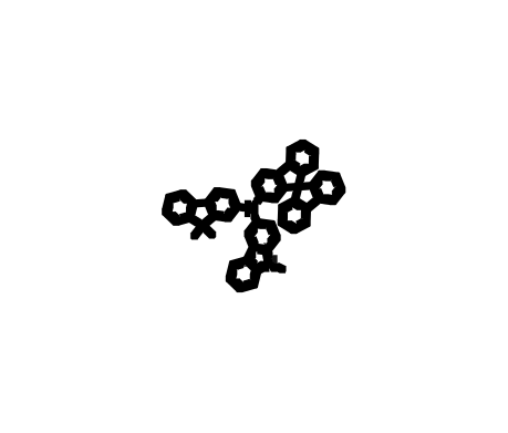 Cn1c2ccccc2c2cc(N(c3ccc4c(c3)C(C)(C)c3ccccc3-4)c3ccc4c(c3)C3(c5ccccc5-c5ccccc53)c3ccccc3-4)ccc21